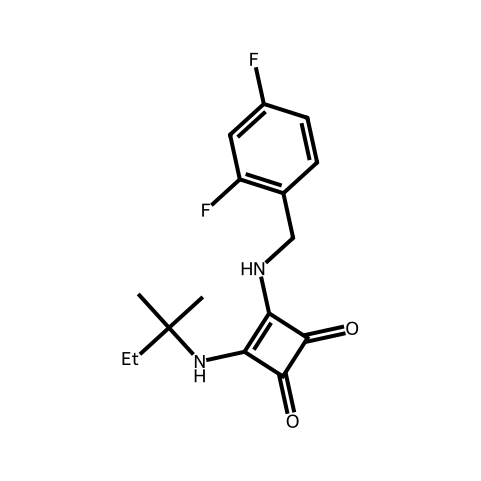 CCC(C)(C)Nc1c(NCc2ccc(F)cc2F)c(=O)c1=O